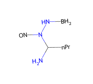 BNN(N=O)C(N)CCC